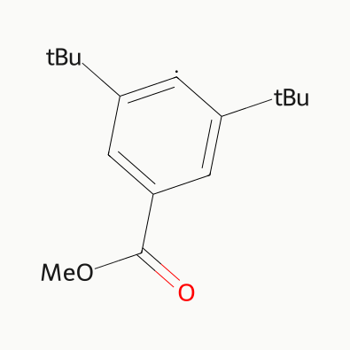 COC(=O)c1cc(C(C)(C)C)[c]c(C(C)(C)C)c1